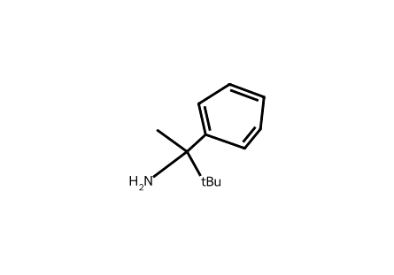 CC(C)(C)C(C)(N)c1ccccc1